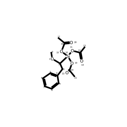 COC(Cc1ccccc1)[Si](OC(C)=O)(OC(C)=O)OC(C)=O